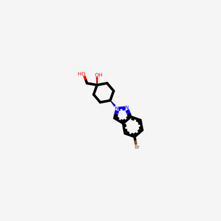 OC[C@]1(O)CC[C@@H](n2cc3cc(Br)ccc3n2)CC1